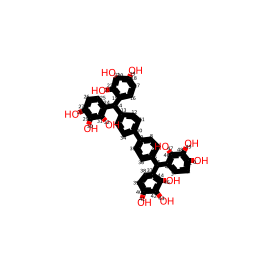 Oc1ccc(C(c2ccc(-c3ccc(C(c4ccc(O)c(O)c4O)c4ccc(O)c(O)c4O)cc3)cc2)c2ccc(O)c(O)c2O)c(O)c1O